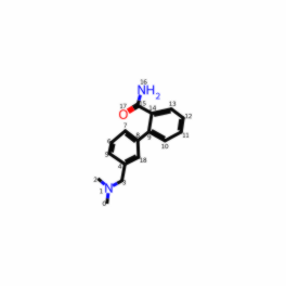 CN(C)Cc1cccc(-c2ccccc2C(N)=O)c1